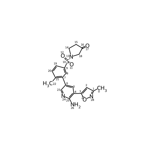 Cc1cc(-c2cc(-c3cc(S(=O)(=O)N4CCC(=O)C4)ccc3C)cnc2N)on1